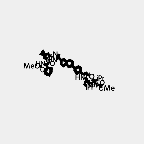 COC(=O)NC(C(=O)N1CC2(CC2)C[C@H]1c1ncc(-c2ccc3cc(-c4ccc(-c5cnc([C@H](CC(C)C)N(C(=O)[C@@H](NC(=O)OC)C(C)C)C(C)C)[nH]5)cc4)ccc3c2)[nH]1)c1ccccc1